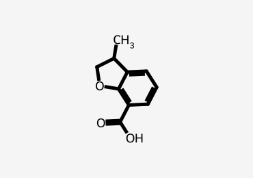 CC1COc2c(C(=O)O)cccc21